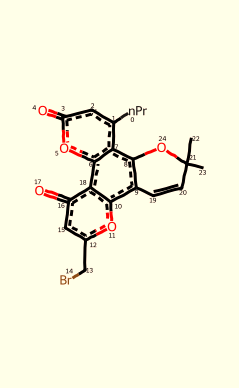 CCCc1[c]c(=O)oc2c1c1c(c3oc(CBr)cc(=O)c32)C=CC(C)(C)O1